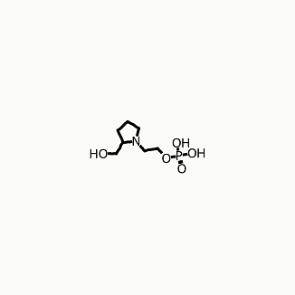 O=P(O)(O)OCCN1CCCC1CO